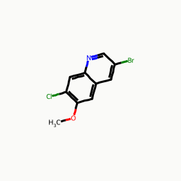 COc1cc2cc(Br)cnc2cc1Cl